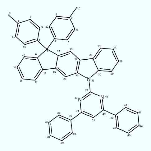 Cc1ccc(C2(c3ccc(C)cc3)c3ccccc3-c3cc4c(cc32)c2ccccc2n4-c2nc(-c3ccccc3)cc(-c3ccccc3)n2)cc1